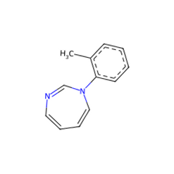 Cc1ccccc1N1C=CC=CN=C1